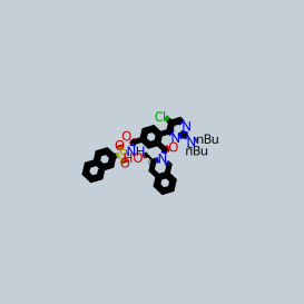 CCCCN(CCCC)c1ncc(Cl)c(-c2ccc(C(=O)NS(=O)(=O)c3ccc4ccccc4c3)cc2C(=O)N2Cc3ccccc3C[C@H]2CO)n1